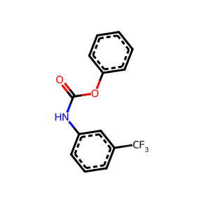 O=C(Nc1cccc(C(F)(F)F)c1)Oc1ccccc1